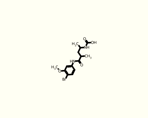 COc1cc(NC(=O)C(C)CC(C)NC(=O)O)ccc1Br